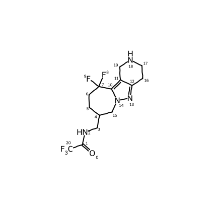 O=C(NCC1CCC(F)(F)c2c3c(nn2C1)CCNC3)C(F)(F)F